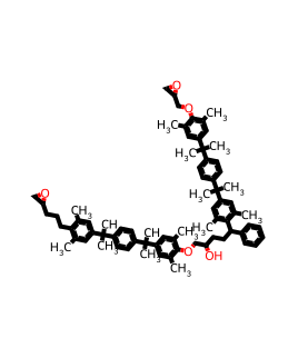 Cc1cc(C(C)(C)c2ccc(C(C)(C)c3cc(C)c(OCC(O)CCC(c4ccccc4)c4c(C)cc(C(C)(C)c5ccc(C(C)(C)c6cc(C)c(OCC7CO7)c(C)c6)cc5)cc4C)c(C)c3)cc2)cc(C)c1CCCC1CO1